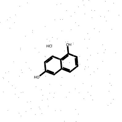 Cl.Oc1ccc2c(O)cccc2c1